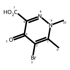 Cc1c(Br)c(=O)c(C(=O)O)nn1C